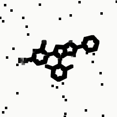 Cc1cccc(C)c1-n1c(-n2ccc(N)nc2=O)cc2sc(-c3ccccc3)nc21